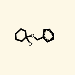 [O]C1(OCc2ccccc2)CCCCC1